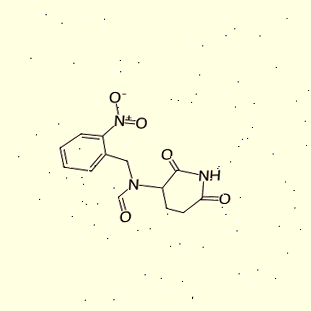 O=CN(Cc1ccccc1[N+](=O)[O-])C1CCC(=O)NC1=O